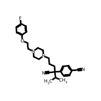 CC(C)C(C#N)(CCCN1CCN(CCOc2ccc(F)cc2)CC1)c1ccc(C#N)cc1